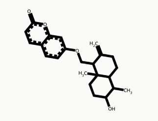 C=C1CCC2C(C)C(O)CCC2(C)C1COc1ccc2ccc(=O)oc2c1